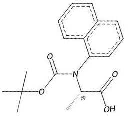 C[C@@H](C(=O)O)N(C(=O)OC(C)(C)C)c1cccc2ccccc12